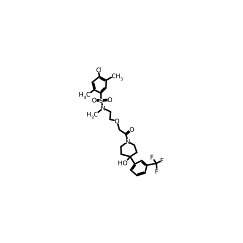 Cc1cc(S(=O)(=O)N(C)CCOCC(=O)N2CCC(O)(c3cccc(C(F)(F)F)c3)CC2)c(C)cc1Cl